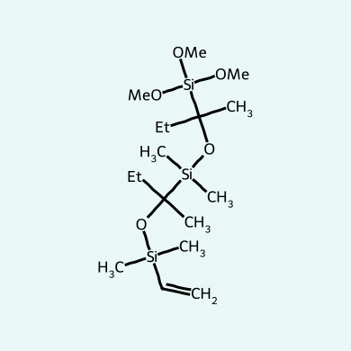 C=C[Si](C)(C)OC(C)(CC)[Si](C)(C)OC(C)(CC)[Si](OC)(OC)OC